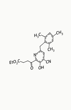 CCOC(=O)CCC(=O)c1nc(Cc2c(C)cc(C)cc2C)cc(C#N)c1O